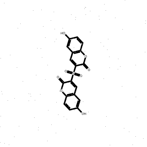 O=c1oc2ccc(O)cc2cc1S(=O)(=O)c1cc2cc(O)ccc2oc1=O